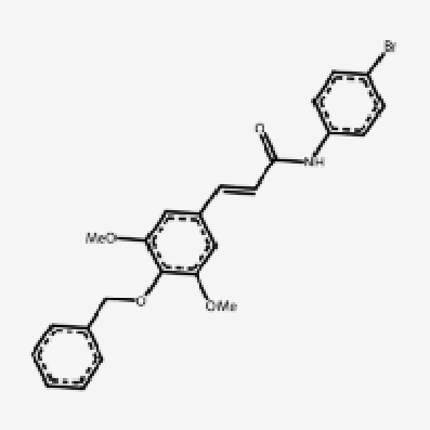 COc1cc(/C=C/C(=O)Nc2ccc(Br)cc2)cc(OC)c1OCc1ccccc1